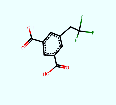 O=C(O)c1cc(CC(F)(F)F)cc(C(=O)O)c1